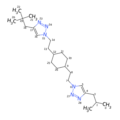 CC(C)Cc1cn(CCC2CCC(CCn3cc(CC(C)(C)C)nn3)CC2)nn1